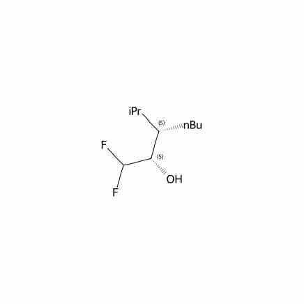 CCCC[C@@H](C(C)C)[C@H](O)C(F)F